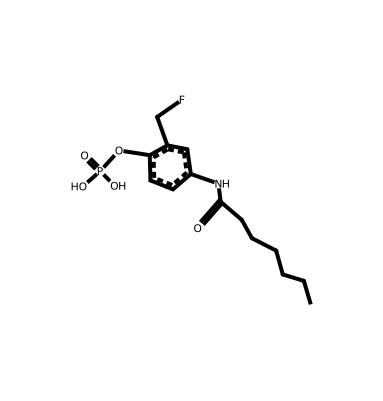 CCCCCCC(=O)Nc1ccc(OP(=O)(O)O)c(CF)c1